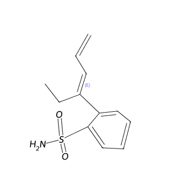 C=C/C=C(\CC)c1ccccc1S(N)(=O)=O